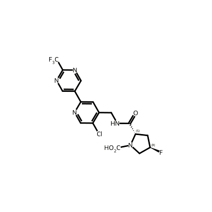 O=C(NCc1cc(-c2cnc(C(F)(F)F)nc2)ncc1Cl)[C@@H]1C[C@@H](F)CN1C(=O)O